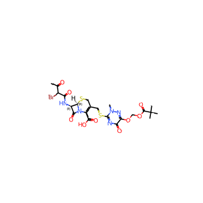 CC(=O)C(Br)C(=O)N[C@@H]1C(=O)N2C(C(=O)O)=C(CSc3nc(=O)c(OCOC(=O)C(C)(C)C)nn3C)CS[C@H]12